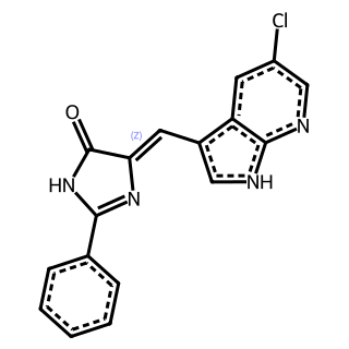 O=C1NC(c2ccccc2)=N/C1=C\c1c[nH]c2ncc(Cl)cc12